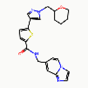 O=C(NCc1ccn2ccnc2c1)c1ccc(-c2cnn(CC3CCCCO3)c2)s1